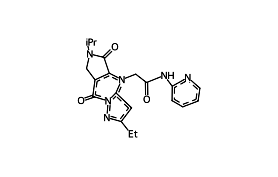 CCc1cc2n(CC(=O)Nc3ccccn3)c3c(c(=O)n2n1)CN(C(C)C)C3=O